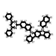 c1ccc(-c2cc(-c3ccccc3)nc(-c3ccc4ccc(-n5c6ccccc6c6cc7c8ccccc8n(-c8ccc9ccccc9c8)c7cc65)cc4c3)n2)cc1